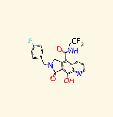 O=C(NCC(F)(F)F)c1c2c(c(O)c3ncccc13)C(=O)N(Cc1ccc(F)cc1)C2